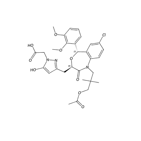 COc1cccc([C@H]2O[C@H](Cc3cc(O)n(CC(=O)O)n3)C(=O)N(CC(C)(C)COC(C)=O)c3ccc(Cl)cc32)c1OC